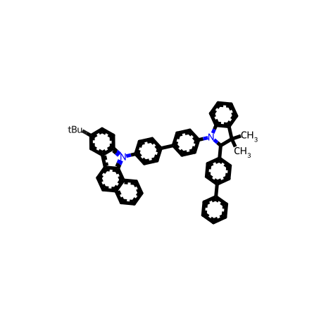 CC(C)(C)c1ccc2c(c1)c1ccc3ccccc3c1n2-c1ccc(-c2ccc(N3c4ccccc4C(C)(C)C3c3ccc(-c4ccccc4)cc3)cc2)cc1